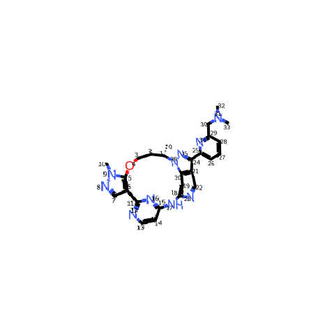 C[C@H]1CCOc2c(cnn2C)-c2nccc(n2)Nc2cc3c(cn2)c(-c2cccc(CN(C)C)n2)nn31